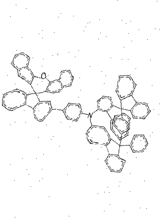 c1ccc(C2(c3ccccc3)c3ccccc3-c3ccc(N(c4ccc(-c5ccc6c(c5)C5(c7ccccc7-6)c6ccc7ccccc7c6Oc6c5ccc5ccccc65)cc4)c4cccc5c4-c4ccccc4C54c5ccccc5-c5ccccc54)cc32)cc1